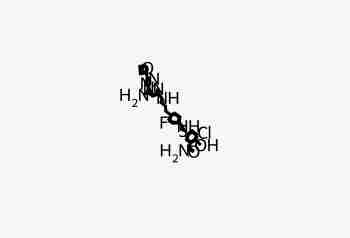 NC(=O)c1cc(SNc2ccc(CCCNc3cc(N)n4nc(-c5ccco5)nc4n3)c(F)c2)cc(Cl)c1O